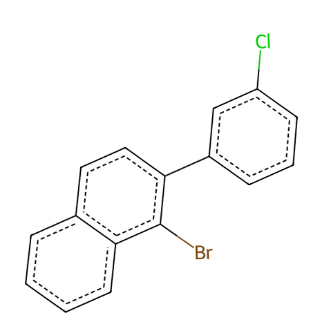 Clc1cccc(-c2ccc3ccccc3c2Br)c1